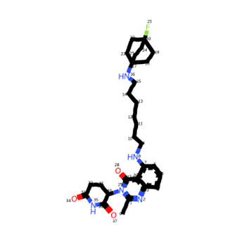 Cc1nc2cccc(NCCCCCCCNC34CCC(F)(CC3)CC4)c2c(=O)n1C1CCC(=O)NC1=O